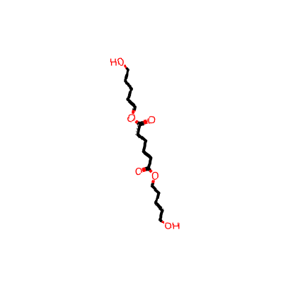 O=C(CCCCC(=O)OCCCCCO)OCCCCCO